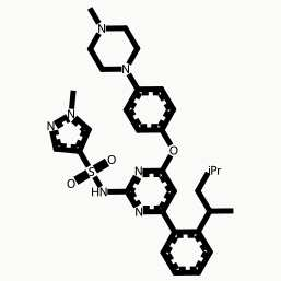 CC(C)CC(C)c1ccccc1-c1cc(Oc2ccc(N3CCN(C)CC3)cc2)nc(NS(=O)(=O)c2cnn(C)c2)n1